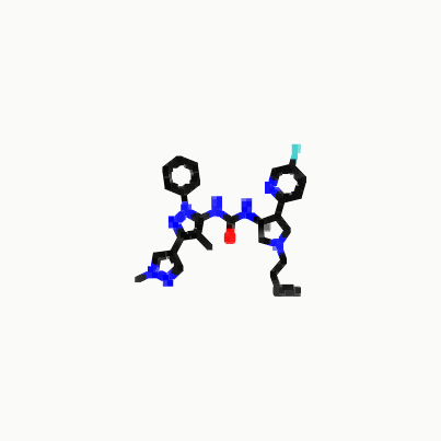 COCCN1CC(c2ccc(F)cn2)[C@H](NC(=O)Nc2c(C)c(-c3cnn(C)c3)nn2-c2ccccc2)C1